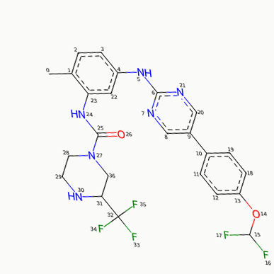 Cc1ccc(Nc2ncc(-c3ccc(OC(F)F)cc3)cn2)cc1NC(=O)N1CCNC(C(F)(F)F)C1